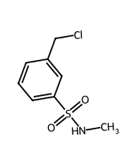 CNS(=O)(=O)c1cccc(CCl)c1